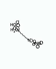 CN(CCCCCCCCCN1CCC(OC(=O)Nc2ccccc2-c2ccccc2)CC1)Cc1ccc(Cl)c(O)c1Cl